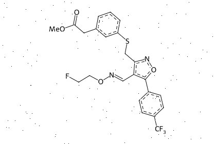 COC(=O)Cc1cccc(SCc2noc(-c3ccc(C(F)(F)F)cc3)c2/C=N/OCCF)c1